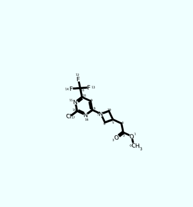 COC(=O)CC1CN(c2cc(C(F)(F)F)nc(Cl)n2)C1